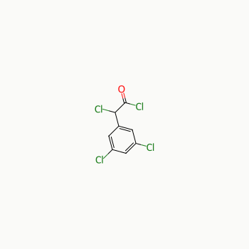 O=C(Cl)C(Cl)c1cc(Cl)cc(Cl)c1